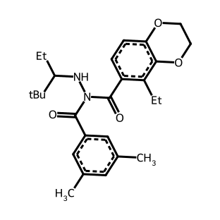 CCc1c(C(=O)N(NC(CC)C(C)(C)C)C(=O)c2cc(C)cc(C)c2)ccc2c1OCCO2